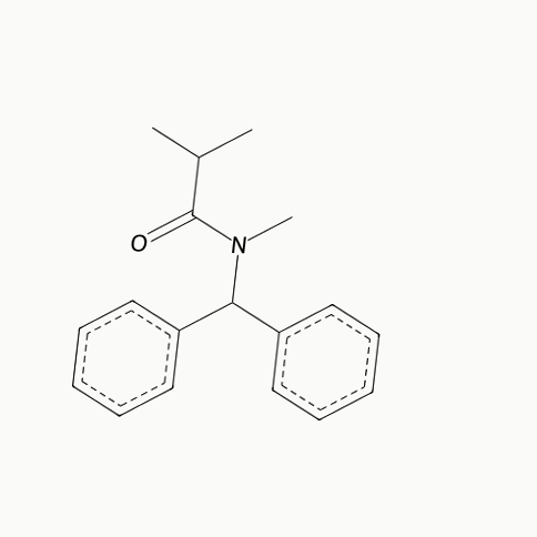 CC(C)C(=O)N(C)C(c1ccccc1)c1ccccc1